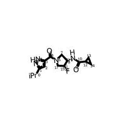 CC(C)c1cc(C(=O)N2C[C@H](NC(=O)C3CC3)[C@@H](F)C2)[nH]n1